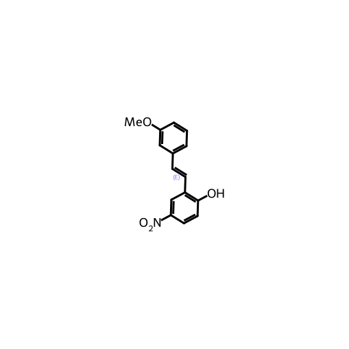 COc1cccc(/C=C/c2cc([N+](=O)[O-])ccc2O)c1